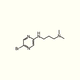 CN(C)CCCNc1cnc(Br)cn1